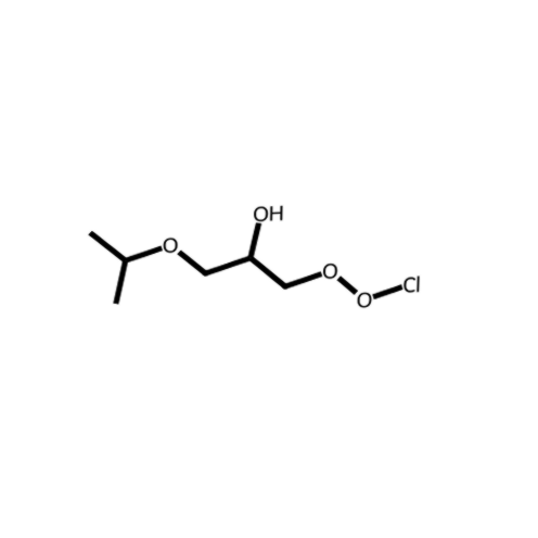 CC(C)OCC(O)COOCl